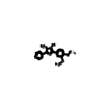 COc1cc(-c2nc(-c3ccncc3)c(C)n2O)ccc1SC